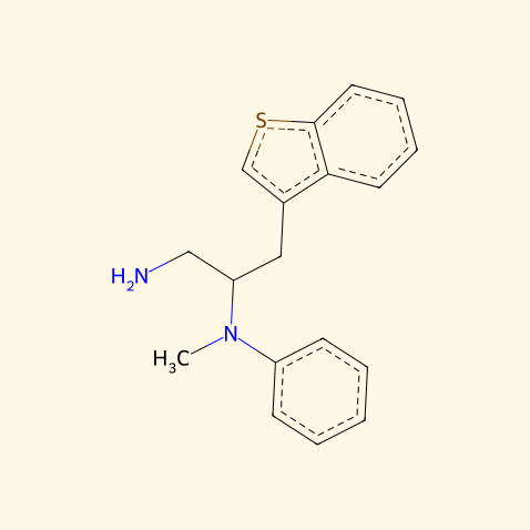 CN(c1ccccc1)C(CN)Cc1csc2ccccc12